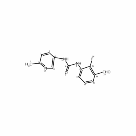 Cc1ccc(NC(=O)Nc2cccc(C=O)c2F)cn1